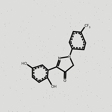 O=C1CN(c2ccc(C(F)(F)F)cc2)N=C1c1cc(O)ccc1O